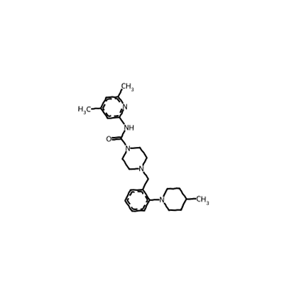 Cc1cc(C)nc(NC(=O)N2CCN(Cc3ccccc3N3CCC(C)CC3)CC2)c1